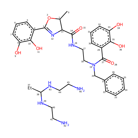 CC1OC(c2cccc(O)c2O)=NC1C(=O)NCCN(Cc1ccccc1)C(=O)c1cccc(O)c1O.CCC(NCCN)NCCN